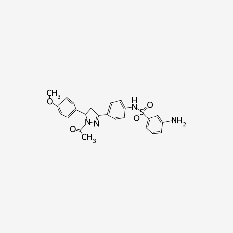 COc1ccc(C2CC(c3ccc(NS(=O)(=O)c4cccc(N)c4)cc3)=NN2C(C)=O)cc1